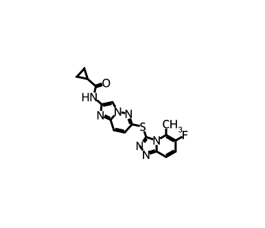 Cc1c(F)ccc2nnc(Sc3ccc4nc(NC(=O)C5CC5)cn4n3)n12